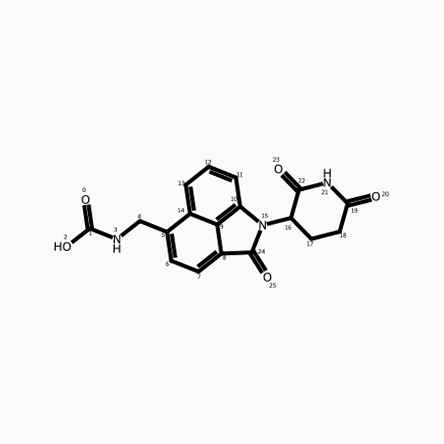 O=C(O)NCc1ccc2c3c(cccc13)N(C1CCC(=O)NC1=O)C2=O